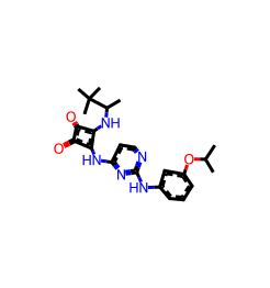 CC(C)Oc1cccc(Nc2nccc(Nc3c(NC(C)C(C)(C)C)c(=O)c3=O)n2)c1